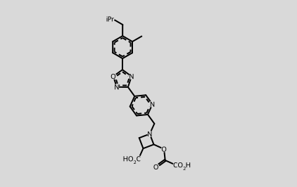 Cc1cc(-c2nc(-c3ccc(CN4CC(C(=O)O)C4OC(=O)C(=O)O)nc3)no2)ccc1CC(C)C